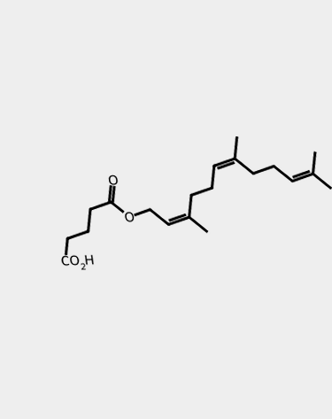 CC(C)=CCCC(C)=CCCC(C)=CCOC(=O)CCCC(=O)O